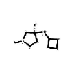 CN1CC[C@](C)(NC2CCC2)C1